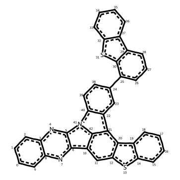 c1ccc2nc3c(nc2c1)c1cc2sc4ccccc4c2c2c4cc(-c5cccc6c5sc5ccccc56)ccc4n3c12